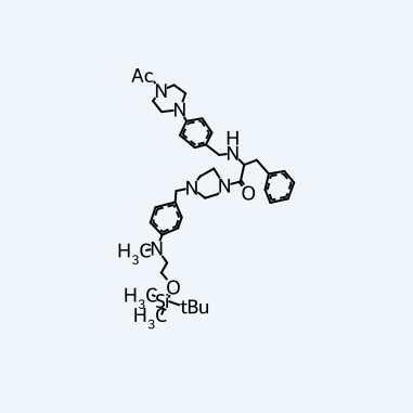 CC(=O)N1CCN(c2ccc(CNC(Cc3ccccc3)C(=O)N3CCN(Cc4ccc(N(C)CCO[Si](C)(C)C(C)(C)C)cc4)CC3)cc2)CC1